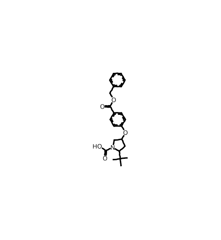 CC(C)(C)C1CC(Oc2ccc(C(=O)OCc3ccccc3)cc2)CN1C(=O)O